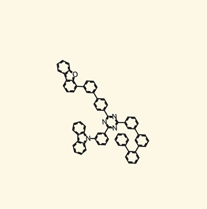 c1ccc(-c2ccccc2-c2cccc(-c3cccc(-c4nc(-c5ccc(-c6cccc(-c7cccc8c7oc7ccccc78)c6)cc5)nc(-c5cccc(-n6c7ccccc7c7ccccc76)c5)n4)c3)c2)cc1